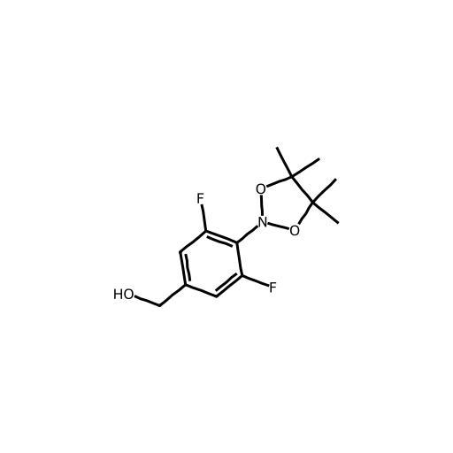 CC1(C)ON(c2c(F)cc(CO)cc2F)OC1(C)C